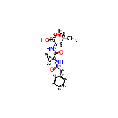 CC(C)C[C@H](NC(=O)C1(NC(=O)Cc2ccccc2)CC1)B(O)O